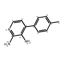 Cc1ccc(-c2ccnc(N)c2N)cc1